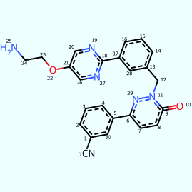 N#Cc1cccc(-c2ccc(=O)n(Cc3cccc(-c4ncc(OCCN)cn4)c3)n2)c1